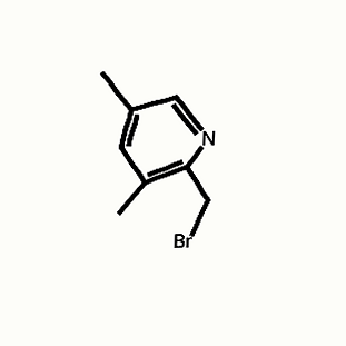 Cc1cnc(CBr)c(C)c1